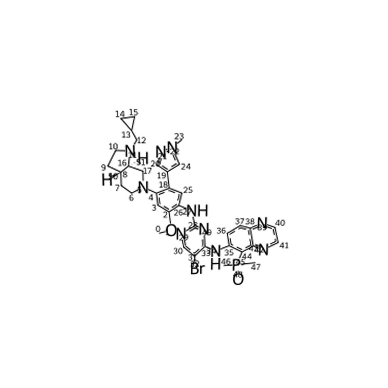 COc1cc(N2CC[C@@H]3CCN(CC4CC4)[C@H]3C2)c(-c2cnn(C)c2)cc1Nc1ncc(Br)c(Nc2ccc3nccnc3c2P(C)(C)=O)n1